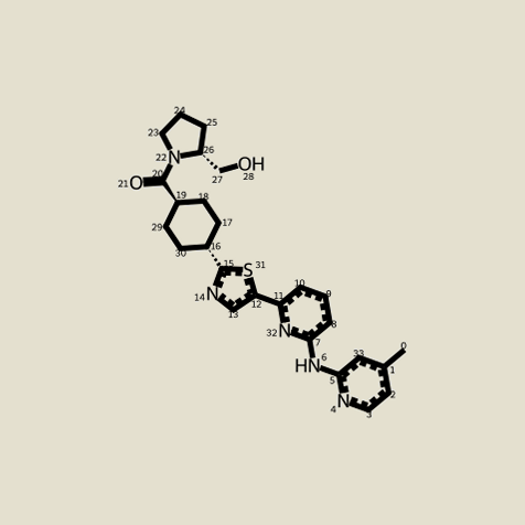 Cc1ccnc(Nc2cccc(-c3cnc([C@H]4CC[C@H](C(=O)N5CCC[C@@H]5CO)CC4)s3)n2)c1